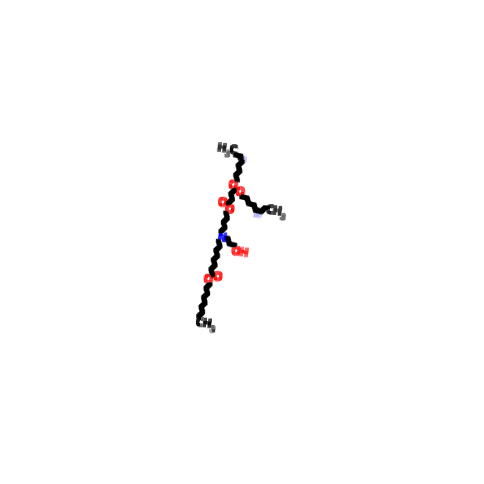 CC/C=C\CCCCOC(CCC(=O)OCCCCCN(CCCO)CCCCCCCC(=O)OCCCCCCCCC)OCCCC/C=C\CC